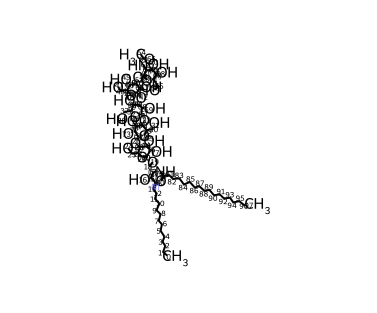 CCCCCCCCCCCCC/C=C/[C@@H](O)[C@H](CO[C@@H]1OC(CO)[C@@H](O[C@@H]2OC(CO)[C@H](O[C@@H]3OC(CO)[C@H](O)[C@H](O[C@H]4OC(CO)[C@H](O)[C@H](O[C@@H]5OC(CO)[C@H](O)[C@H](O)C5NC(C)=O)C4O)C3O)[C@H](O)C2O)[C@H](O)C1O)NC(=O)CCCCCCCCCCCCCCCCC